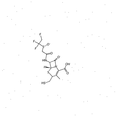 CC1=C(C(=O)O)N2C(=O)C(NC(=O)C[S+]([O-])C(F)(F)CF)[C@H]2SC1CS